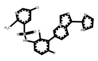 Cc1ncc(Cl)cc1S(=O)(=O)Nc1ccc(F)c(-c2ccc3c(-c4ncc[nH]4)ncn3c2)c1F